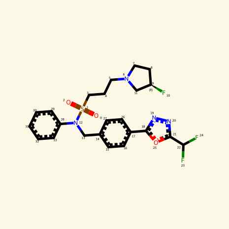 O=S(=O)(CCCN1CC[C@@H](F)C1)N(Cc1ccc(-c2nnc(C(F)F)o2)cc1)c1ccccc1